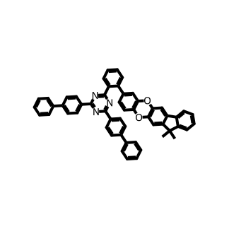 CC1(C)c2ccccc2-c2cc3c(cc21)Oc1ccc(-c2ccccc2-c2nc(-c4ccc(-c5ccccc5)cc4)nc(-c4ccc(-c5ccccc5)cc4)n2)cc1O3